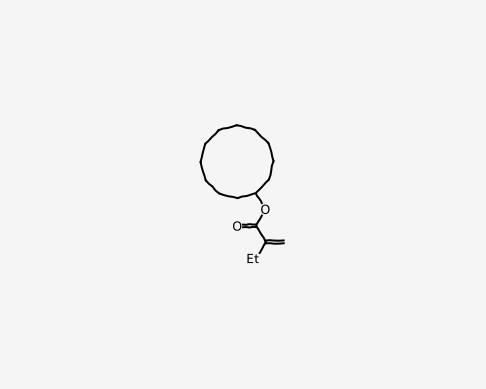 C=C(CC)C(=O)OC1CCCCCCCCCCC1